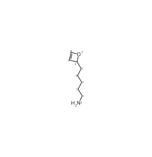 NCCCCCC1C=CO1